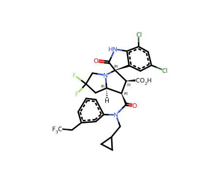 O=C(O)[C@H]1[C@@H](C(=O)N(CC2CC2)c2cccc(CC(F)(F)F)c2)[C@H]2CC(F)(F)CN2[C@]12C(=O)Nc1c(Cl)cc(Cl)cc12